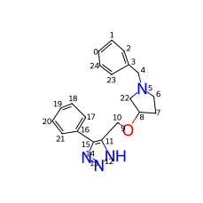 c1ccc(CN2CCC(OCc3[nH]nnc3-c3ccccc3)C2)cc1